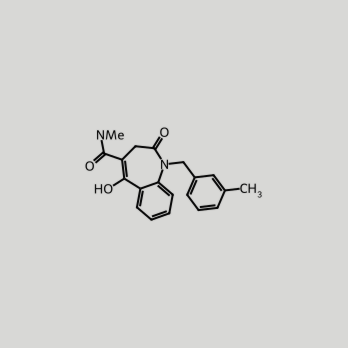 CNC(=O)C1=C(O)c2ccccc2N(Cc2cccc(C)c2)C(=O)C1